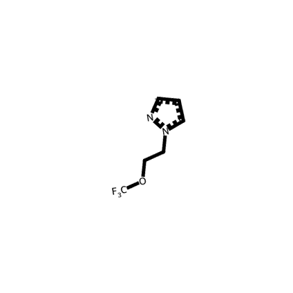 FC(F)(F)OCCn1cc[c]n1